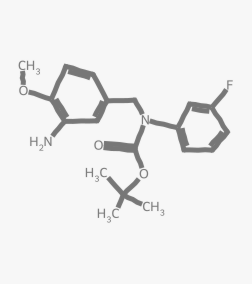 COc1ccc(CN(C(=O)OC(C)(C)C)c2cccc(F)c2)cc1N